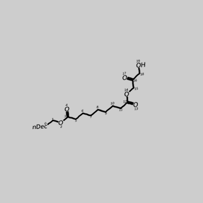 CCCCCCCCCCCOC(=O)CCCCCCCC(=O)OCC(=O)CO